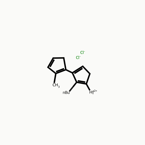 CCCCC1=[C]([Hf+2])CC=C1C1=C(C)C=CC1.[Cl-].[Cl-]